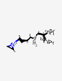 CCCC(=C[SiH2]CCCN1CC1)CCC